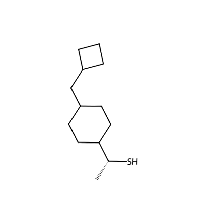 C[C@@H](S)C1CCC(CC2CCC2)CC1